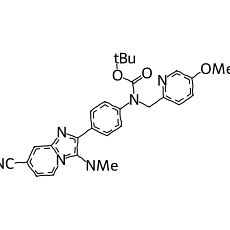 CNc1c(-c2ccc(N(Cc3ccc(OC)cn3)C(=O)OC(C)(C)C)cc2)nc2cc(C#N)ccn12